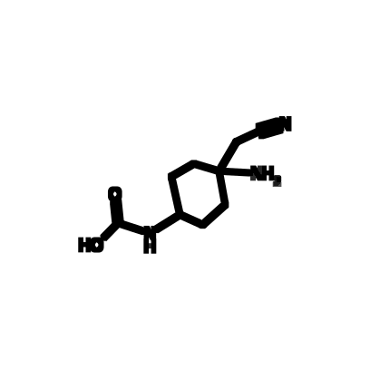 N#CCC1(N)CCC(NC(=O)O)CC1